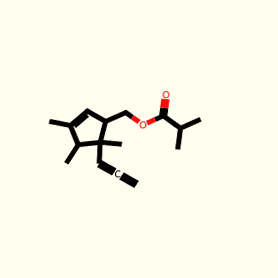 C=C=CC1(C)C(COC(=O)C(C)C)C=C(C)C1C